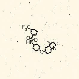 Cc1ccnc2ccc(Oc3ccc(NS(=O)(=O)c4cccc(C(F)(F)F)c4)cc3)cc12